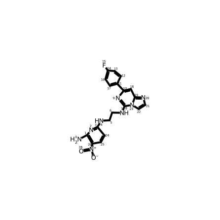 Nc1nc(NCCNc2nc(-c3ccc(F)cc3)cc3nccn23)ccc1[N+](=O)[O-]